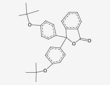 CC(C)(C)Oc1ccc(C2(c3ccc(OC(C)(C)C)cc3)OC(=O)c3ccccc32)cc1